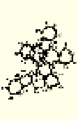 c1ccc(-n2c3ccccc3c3ccccc32)c(N2c3cccc4c3B(c3oc5ccccc5c3O4)n3c2nc2ccccc23)c1